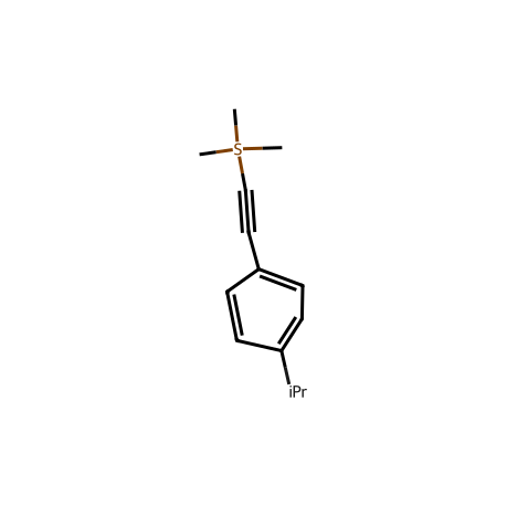 CC(C)c1ccc(C#CS(C)(C)C)cc1